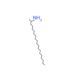 CCCCCCCCCCCCCCCCCCC(C)CN